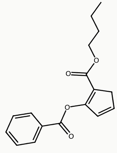 CCCCOC(=O)C1=C(OC(=O)c2ccccc2)C=CC1